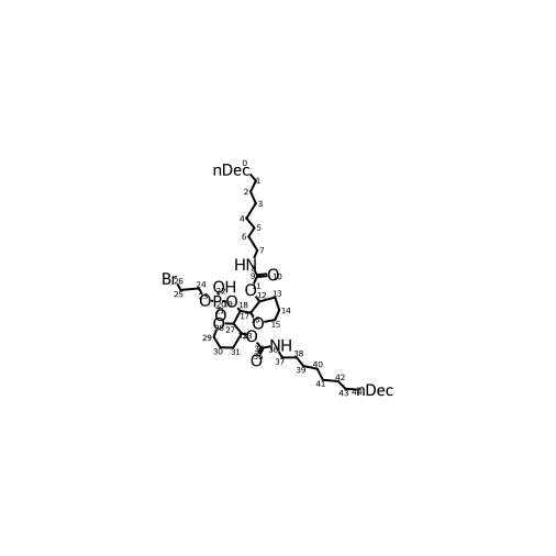 CCCCCCCCCCCCCCCCCNC(=O)OC1CCCOC1C(OP(=O)(O)OCCBr)C1OCCCC1OC(=O)NCCCCCCCCCCCCCCCCC